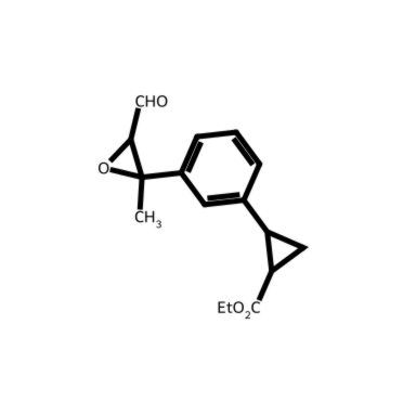 CCOC(=O)C1CC1c1cccc(C2(C)OC2C=O)c1